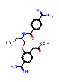 N=C(N)c1ccc(C(=O)N[C@@H](COc2cc(C(=N)N)ccc2CC(=O)C(=O)O)CC(=O)O)cc1